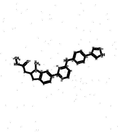 CNC(=O)CC1Cc2ccc(-c3nccc(Nc4ccc(-c5cn[nH]c5)cc4)n3)cc2N1C